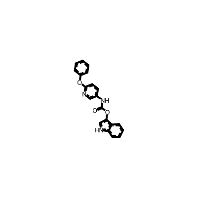 O=C(Nc1ccc(Oc2ccccc2)nc1)Oc1c[nH]c2ccccc12